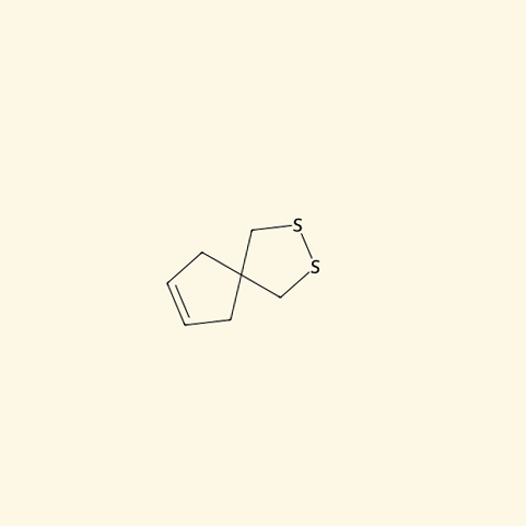 C1=CCC2(C1)CSSC2